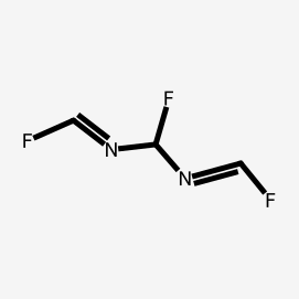 FC=NC(F)N=CF